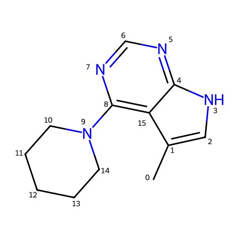 Cc1c[nH]c2ncnc(N3CCCCC3)c12